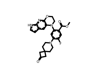 COC(=O)c1cc(F)c(N2CCC3(CC2)CC(=O)C3)cc1N1CCOc2nc3[nH]ccc3cc21